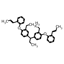 CC=Cc1ccccc1Oc1ccc(C(CC)c2ccc(Oc3ccccc3C=CC)c(CC)c2)cc1CC